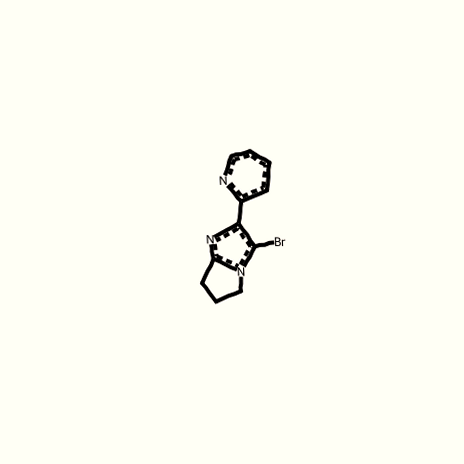 Brc1c(-c2ccccn2)nc2n1CCC2